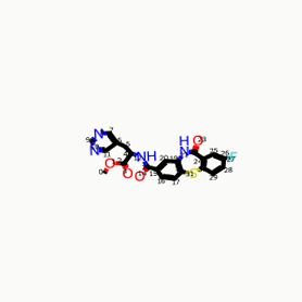 COC(=O)C(Cc1cncnc1)NC(=O)c1ccc2c(c1)NC(=O)c1cc(F)ccc1S2